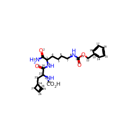 NC(=O)C(CCCCNC(=O)OCc1ccccc1)NC(=O)C(CC12CC(C1)C2)NC(=O)O